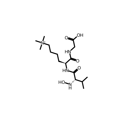 CC(C)[C@H](NO)C(=O)N[C@@H](CCCC[N+](C)(C)C)C(=O)NCC(=O)O